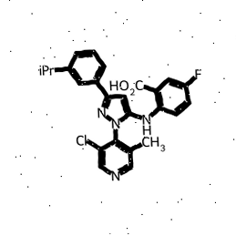 Cc1cncc(Cl)c1-n1nc(-c2cccc(C(C)C)c2)cc1Nc1ccc(F)cc1C(=O)O